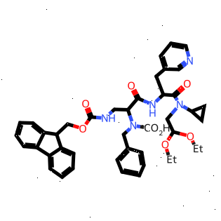 CCOC(CN(C(=O)C(Cc1cccnc1)NC(=O)C(CNC(=O)OCC1c2ccccc2-c2ccccc21)N(Cc1ccccc1)C(=O)O)C1CC1)OCC